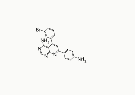 Nc1ccc(-c2cc(-c3cccc(Br)c3)c3c(N)ncnc3n2)cc1